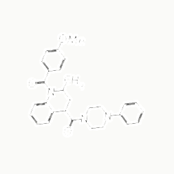 COc1ccc(C(=O)N2c3ccccc3C(C(=O)N3CCN(c4ccccc4)CC3)CC2C)cc1